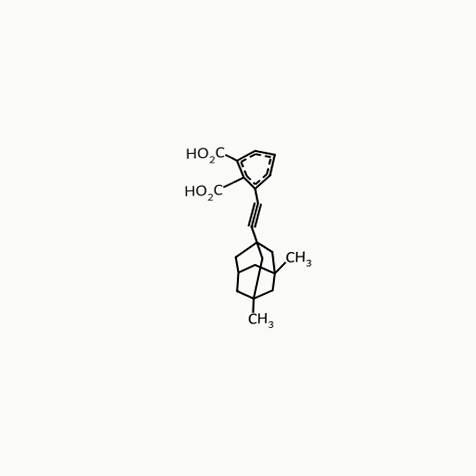 CC12CC3CC(C)(C1)CC(C#Cc1cccc(C(=O)O)c1C(=O)O)(C3)C2